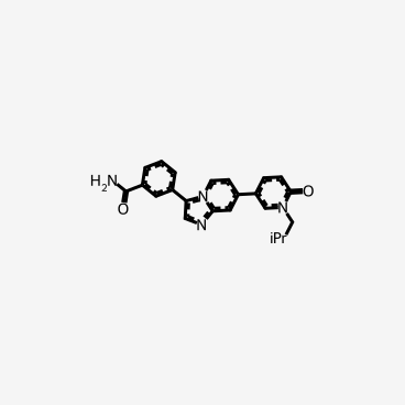 CC(C)Cn1cc(-c2ccn3c(-c4cccc(C(N)=O)c4)cnc3c2)ccc1=O